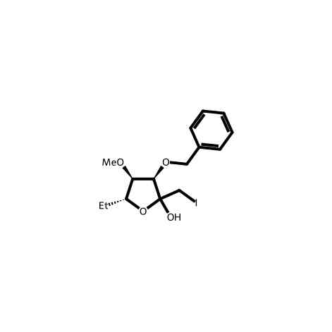 CC[C@H]1OC(O)(CI)[C@H](OCc2ccccc2)[C@@H]1OC